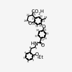 CCOc1ccccc1CCNC(=O)c1ccc(Oc2cc3c(cc2C)C(C(=O)O)CCO3)cc1